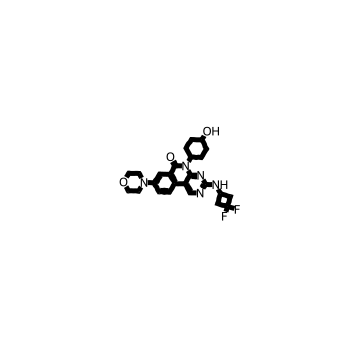 O=c1c2cc(N3CCOCC3)ccc2c2cnc(NC3CC(F)(F)C3)nc2n1C1CCC(O)CC1